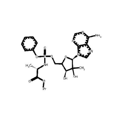 CC(C)OC(=O)[C@H](C)NP(=O)(OCC1O[C@@H](n2cnc3c(N)ncnc32)C(C)(O)[C@H]1O)Oc1ccccc1